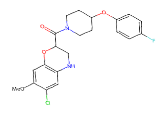 COc1cc2c(cc1Cl)NCC(C(=O)N1CCC(Oc3ccc(F)cc3)CC1)O2